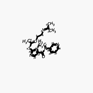 CC(C)=NCCOC(C)Sc1ncc(C(=O)N(C)c2cccnc2)n1C